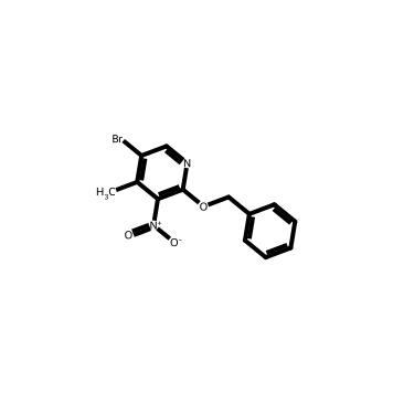 Cc1c(Br)cnc(OCc2ccccc2)c1[N+](=O)[O-]